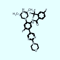 C[C@@H]1CN(c2cc(F)c(-c3cnc(N4CCOCC4)nc3)cc2NC(=O)c2ccc(F)cc2C(F)(F)F)C[C@H](C)N1